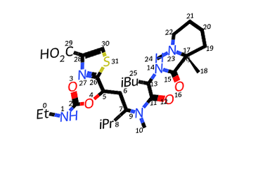 CCNC(=O)OC(CC(C(C)C)N(C)C(=O)C(NC(=O)[C@@]1(C)CCCCN1C)C(C)CC)c1nc(C(=O)O)cs1